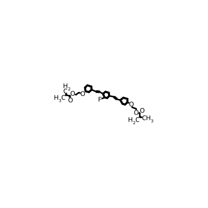 C=C(C)C(=O)OCCOc1ccc(C#Cc2ccc(C#Cc3cccc(OCCOC(=O)C(=C)C)c3)c(F)c2)cc1